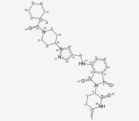 C=C1CCC(N2C(=O)c3cccc(NCc4cnn(C5CCN(C(=O)C6(C)CCCCC6)CC5)c4)c3C2=O)C(=O)N1